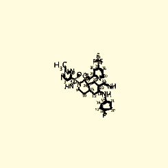 Cn1ncc(S(=N)(=O)N2CCC3CC(Nc4ccc(F)cc4)=C(C=N)C[C@]3(C(=O)c3cc(C(F)(F)F)ccn3)C2)n1